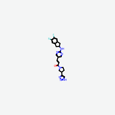 O=C(/C=C/c1cnc(NC2Cc3cc(F)c(F)cc3C2)nc1)N1CCC(c2c[nH]nn2)C1